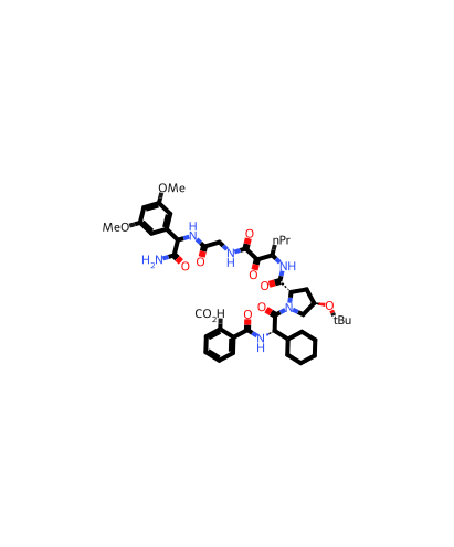 CCCC(NC(=O)[C@@H]1C[C@@H](OC(C)(C)C)CN1C(=O)[C@@H](NC(=O)c1ccccc1C(=O)O)C1CCCCC1)C(=O)C(=O)NCC(=O)NC(C(N)=O)c1cc(OC)cc(OC)c1